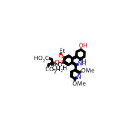 CCOc1cc2c(cc1OC)=C(c1ccc(OC)nc1OC)N[C@@H]1CC[C@@H](O)CC=21.O=C(O)CC(O)(CC(=O)O)C(=O)O